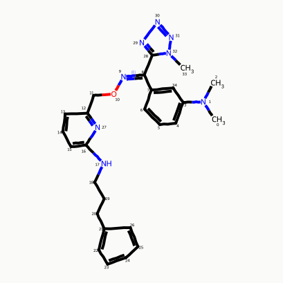 CN(C)c1cccc(/C(=N\OCc2cccc(NCCCc3ccccc3)n2)c2nnnn2C)c1